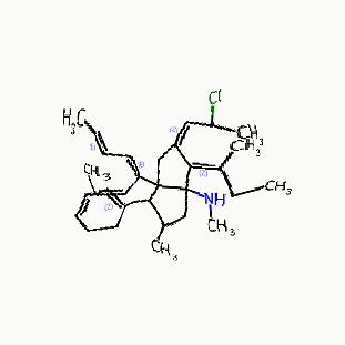 C\C=C/C(=C\C=C\C)C12CC(=C/C(C)Cl)/C(=C(\C)CC)C1(NC)CC(C)C2C1=CC=CCC1